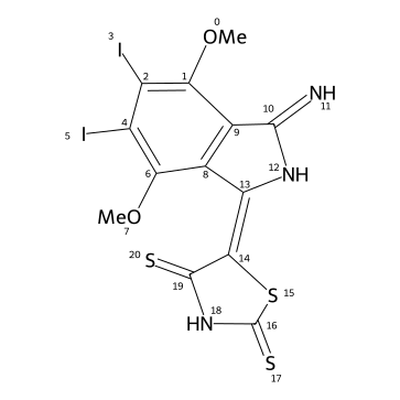 COc1c(I)c(I)c(OC)c2c1C(=N)NC2=C1SC(=S)NC1=S